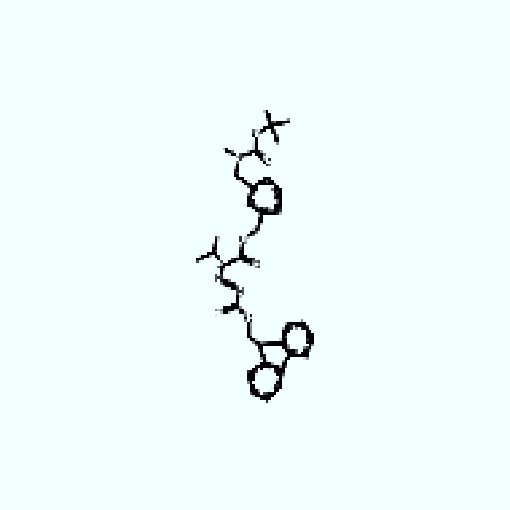 CC(C)[C@H](N=NC(=O)OCC1c2ccccc2-c2ccccc21)C(=O)OCc1cccc(CN(C)C(=O)OC(C)(C)C)c1